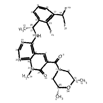 C[C@@H]1CN(C(=O)c2cc3c(N[C@H](C)c4cccc(C(F)F)c4F)ncnc3n(C)c2=O)C[C@H](C)O1